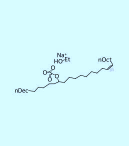 CCCCCCCC/C=C\CCCCCCCCC(CCCCCCCCCCCCCCC)OS(=O)(=O)[O-].CCO.[Na+]